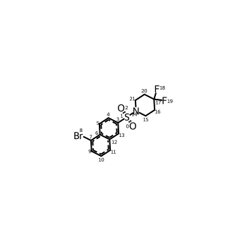 O=S(=O)(c1ccc2c(Br)cccc2c1)N1CCC(F)(F)CC1